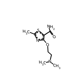 Cc1nc(OCCN(C)C)c(C(N)=O)s1